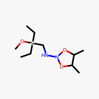 CC[Si](CC)(CNN1OC(C)C(C)O1)OC